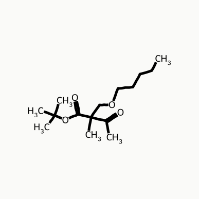 CCCCCOCC(C)(C(C)=O)C(=O)OC(C)(C)C